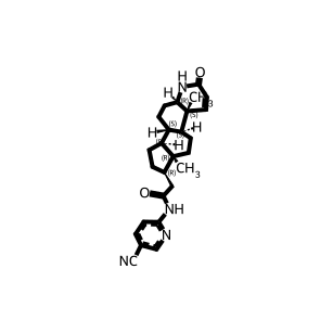 C[C@]12C=CC(=O)N[C@@H]1CC[C@@H]1[C@@H]2CC[C@]2(C)[C@@H](CC(=O)Nc3ccc(C#N)cn3)CC[C@@H]12